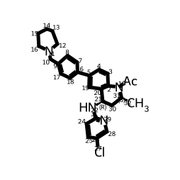 CC(=O)N1c2ccc(-c3ccc(CN4CCCCC4)cc3)cc2[C@H](Nc2ccc(Cl)cn2)C[C@@H]1C